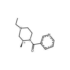 CCN1CCN(C(=O)c2cccnc2)[C@@H](C)C1